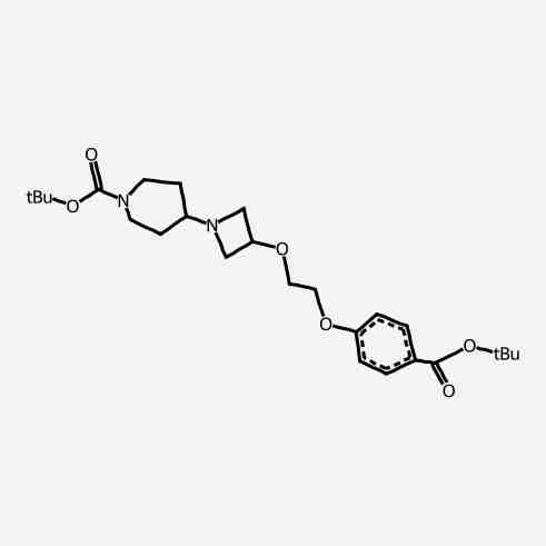 CC(C)(C)OC(=O)c1ccc(OCCOC2CN(C3CCN(C(=O)OC(C)(C)C)CC3)C2)cc1